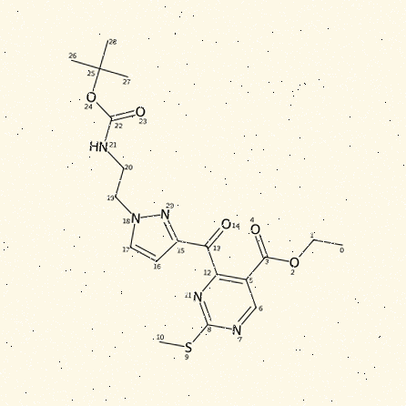 CCOC(=O)c1cnc(SC)nc1C(=O)c1ccn(CCNC(=O)OC(C)(C)C)n1